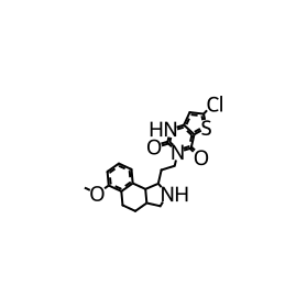 COc1cccc2c1CCC1CNC(CCn3c(=O)[nH]c4cc(Cl)sc4c3=O)C21